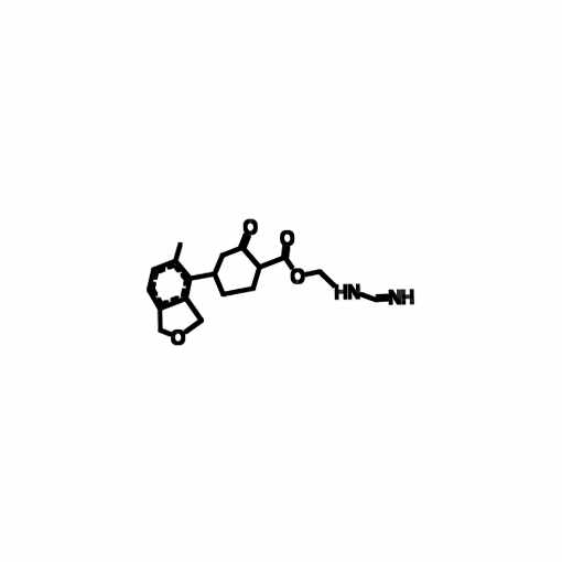 Cc1ccc2c(c1C1CCC(C(=O)OCCNC=N)C(=O)C1)COC2